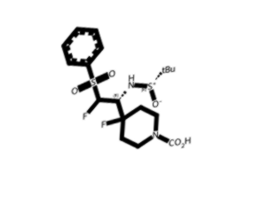 CC(C)(C)[S@+]([O-])N[C@@H](C(F)S(=O)(=O)c1ccccc1)C1(F)CCN(C(=O)O)CC1